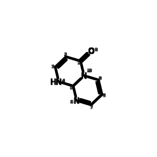 O=C1C=CNC2N=CC=CN12